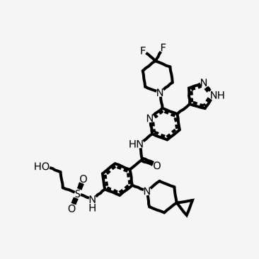 O=C(Nc1ccc(-c2cn[nH]c2)c(N2CCC(F)(F)CC2)n1)c1ccc(NS(=O)(=O)CCO)cc1N1CCC2(CC1)CC2